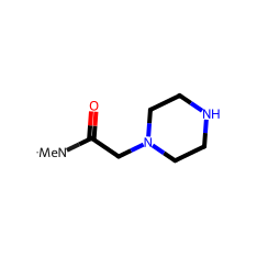 C[N]C(=O)CN1CCNCC1